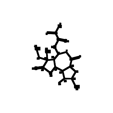 C=C(CC)C(=O)OC1CC(=C)C2CC(O)C(C)C2C2OC(=O)C(O)(CO)C12